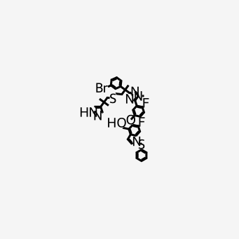 Cn1nc(C(C)(CCSCC(C)(C)c2cn[nH]c2)c2cccc(Br)c2)nc1-c1cc(Oc2c(F)cc3c(ccn3Sc3ccccc3)c2CO)ccc1F